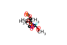 CCOC(=O)CCc1ccc(N(Cc2ccc(OC(C)C)c(-c3c(C)cc(OC4CCS(=O)(=O)CC4)cc3C)c2)S(=O)(=O)c2ccccc2[N+](=O)[O-])cc1F